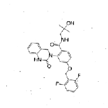 CC(C)(O)CNC(=O)c1ccc(OCc2c(F)cccc2F)cc1N1Cc2ccccc2NC1=O